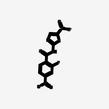 O=C(Nc1ncc([N+](=O)[O-])s1)c1ccc([N+](=O)[O-])cc1F